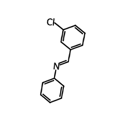 Clc1cccc(C=Nc2ccccc2)c1